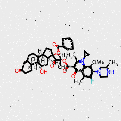 COc1c(N2CCNC(C)C2)c(F)c(C)c2c(=O)c(C(=O)OC(C)(C)C(=O)[C@@]3(OC(=O)c4ccccc4)CC[C@H]4[C@@H]5CCC6=CC(=O)CC[C@]6(C)[C@H]5[C@@H](O)C[C@@]43C)c(C)n(C3CC3)c12